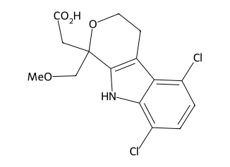 COCC1(CC(=O)O)OCCc2c1[nH]c1c(Cl)ccc(Cl)c21